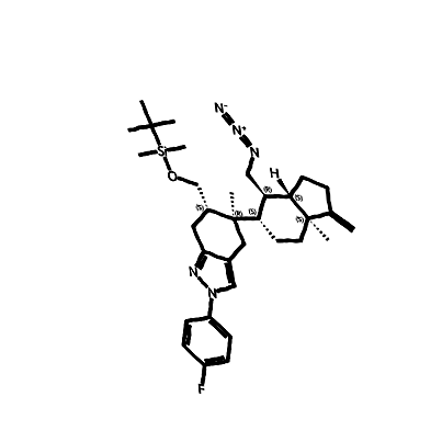 C=C1CC[C@H]2[C@H](CN=[N+]=[N-])[C@@H]([C@@]3(C)Cc4cn(-c5ccc(F)cc5)nc4C[C@@H]3CO[Si](C)(C)C(C)(C)C)CC[C@]12C